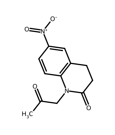 CC(=O)CN1C(=O)CCc2cc([N+](=O)[O-])ccc21